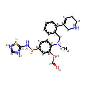 CN(Cc1ccccc1C1=CCCNC1)c1ccc(SNc2ncns2)cc1OC=O